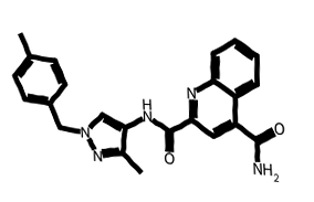 Cc1ccc(Cn2cc(NC(=O)c3cc(C(N)=O)c4ccccc4n3)c(C)n2)cc1